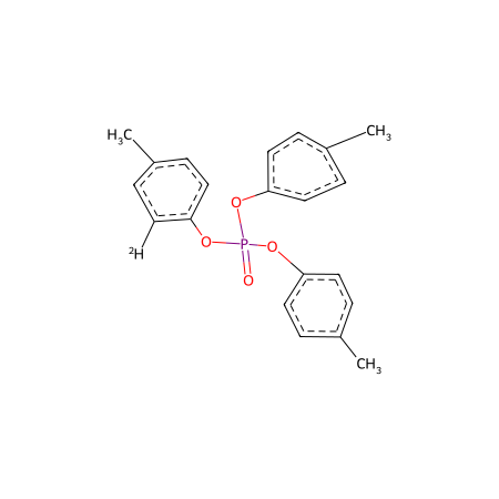 [2H]c1cc(C)ccc1OP(=O)(Oc1ccc(C)cc1)Oc1ccc(C)cc1